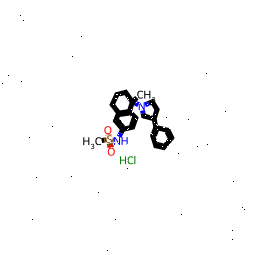 CC1(N2CCC(c3ccccc3)C2)CCCc2cc(NS(C)(=O)=O)ccc21.Cl